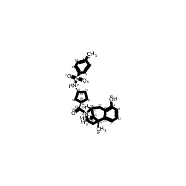 Cc1ccc(S(=O)(=O)N[C@@H]2CC[C@@H](C(=O)N3CC[C@@]4(C)c5cccc(O)c5C[C@@H]3C4(C)C)C2)cc1